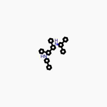 c1ccc(-c2ccc(Nc3ccc(-c4ccc(Nc5cc(-c6ccccc6)cc(-c6ccccc6)c5)c(-c5ccccc5)c4)cc3-c3ccccc3)cc2)cc1